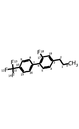 CCCc1ccc(-c2ccc(C(F)(F)F)cc2)c(F)c1